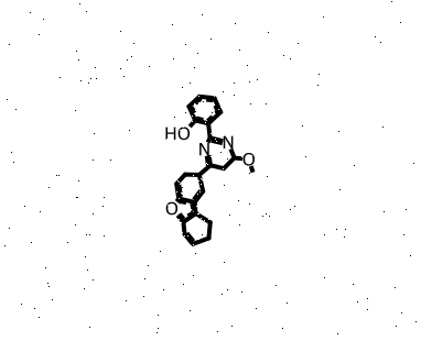 COC1CC(C2C=c3c4c(oc3=CC2)C=CCC4)=NC(c2ccccc2O)=N1